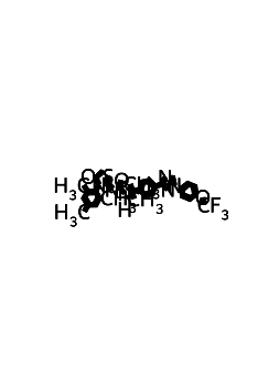 Cc1cc(C)c(N2C(=O)CS/C2=N\C(=O)NC(C)(C)c2ccc(-c3ncn(-c4ccc(OC(F)(F)F)cc4)n3)cc2)c(C)c1